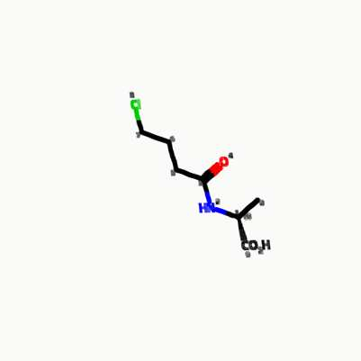 C[C@H](NC(=O)CCCCl)C(=O)O